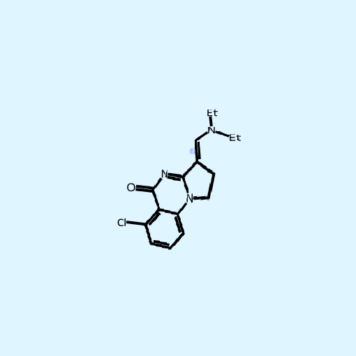 CCN(/C=C1\CCn2c1nc(=O)c1c(Cl)cccc12)CC